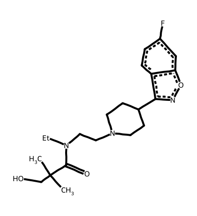 CCN(CCN1CCC(c2noc3cc(F)ccc23)CC1)C(=O)C(C)(C)CO